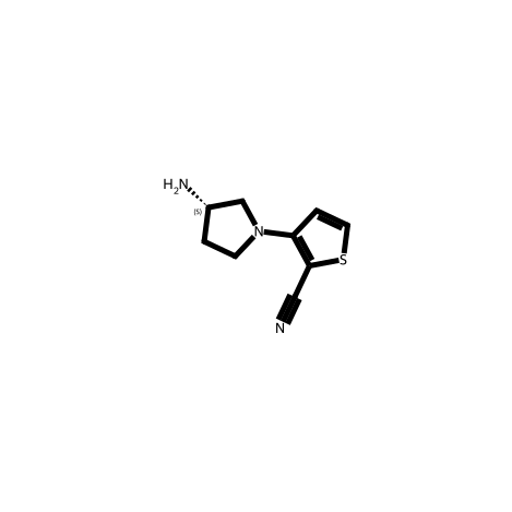 N#Cc1sccc1N1CC[C@H](N)C1